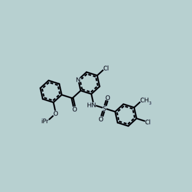 Cc1cc(S(=O)(=O)Nc2cc(Cl)cnc2C(=O)c2ccccc2OC(C)C)ccc1Cl